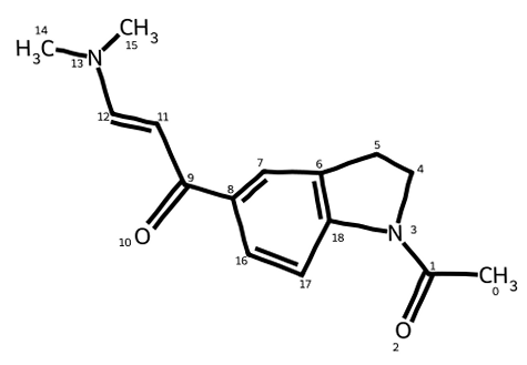 CC(=O)N1CCc2cc(C(=O)C=CN(C)C)ccc21